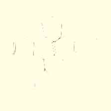 CCNC(=O)C(c1ccc(CO)cc1)c1ccccc1N1CCCCC1